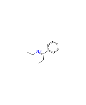 CC/N=C(\CC)c1ccccc1